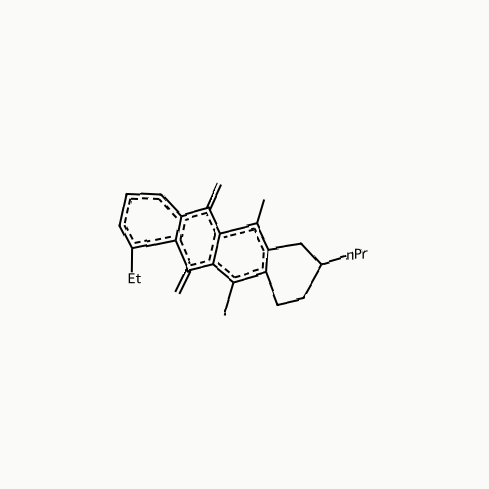 C=c1c2cccc(CC)c2c(=C)c2c(C)c3c(c(C)c12)CC(CCC)CC3